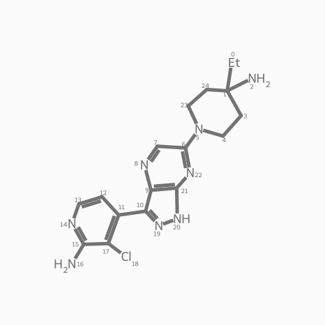 CCC1(N)CCN(c2cnc3c(-c4ccnc(N)c4Cl)n[nH]c3n2)CC1